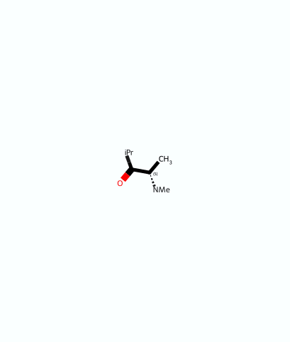 CN[C@@H](C)C(=O)C(C)C